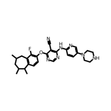 CC1Cc2c(ccc(Oc3ncnc(Nc4ccc(N5CCNCC5)cn4)c3C#N)c2F)C(C)C(C)C1